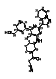 N#CCC(=O)N1CCC[C@@H](Nc2nc(-c3cnn4ccccc34)nc(-c3cncc(CO)c3)c2F)C1